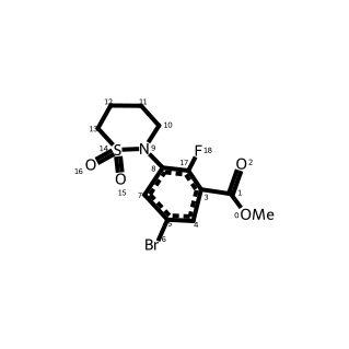 COC(=O)c1cc(Br)cc(N2CCCCS2(=O)=O)c1F